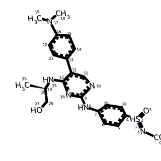 CCOC(=O)/N=[SH](=O)/c1ccc(Nc2ncc(-c3ccc(N(C)C)cc3)c(N[C@H](C)CO)n2)cc1